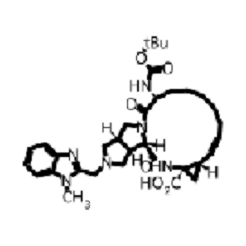 Cn1c(CN2C[C@H]3CN4C(=O)[C@H](NC(=O)OC(C)(C)C)CCCCC/C=C\[C@@H]5C[C@@]5(C(=O)O)NC(=O)[C@@H]4[C@H]3C2)nc2ccccc21